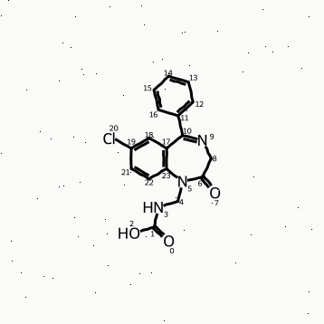 O=C(O)NCN1C(=O)CN=C(c2ccccc2)c2cc(Cl)ccc21